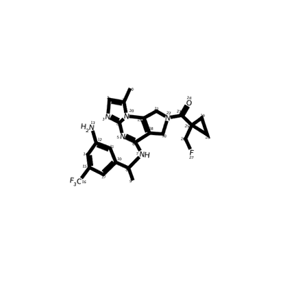 Cc1cnc2nc(NC(C)c3cc(N)cc(C(F)(F)F)c3)c3c(n12)CN(C(=O)C1(CF)CC1)C3